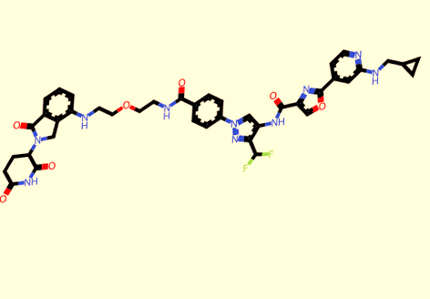 O=C1CCC(N2Cc3c(NCCOCCNC(=O)c4ccc(-n5cc(NC(=O)c6coc(-c7ccnc(NCC8CC8)c7)n6)c(C(F)F)n5)cc4)cccc3C2=O)C(=O)N1